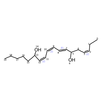 CC/C=C\CC(O)/C=C/C=C\C=C/C(O)CCCCC